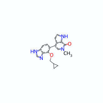 Cn1cc(-c2ccc3[nH]cnc3c2OCC2CC2)c2cc[nH]c2c1=O